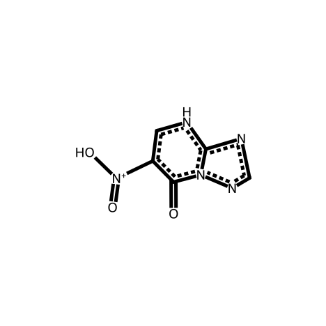 O=c1c([N+](=O)O)c[nH]c2ncnn12